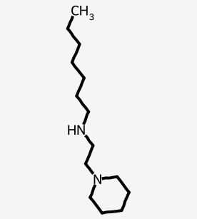 CCCCCCCNCCN1CCCCC1